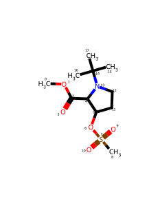 COC(=O)C1C(OS(C)(=O)=O)CCN1C(C)(C)C